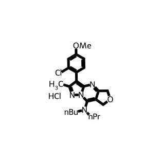 CCCCN(CCC)c1c2c(nc3c(-c4ccc(OC)cc4Cl)c(C)nn13)COC2.Cl